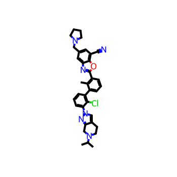 Cc1c(-c2nc3cc(CN4CCCC4)cc(C#N)c3o2)cccc1-c1cccc(-n2cc3c(n2)CN(C(C)C)CC3)c1Cl